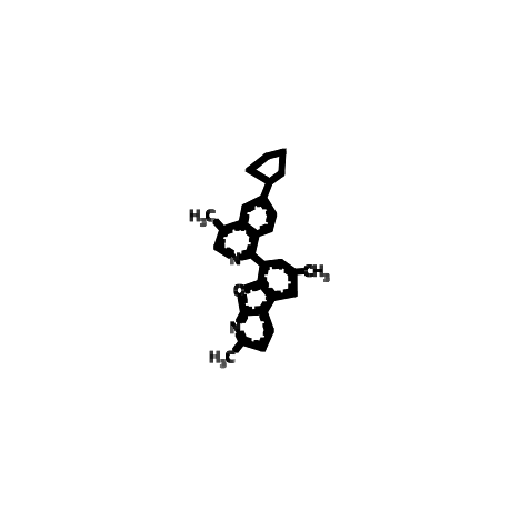 Cc1cc(-c2ncc(C)c3cc(C4CCCC4)ccc23)c2oc3nc(C)ccc3c2c1